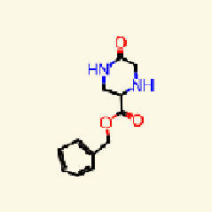 O=C1CNC(C(=O)OCc2ccccc2)CN1